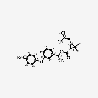 CC1(C)[C@H](C=C(Cl)Cl)[C@H]1C(=O)OC(C#N)c1cccc(Oc2ccc(Br)cc2)c1